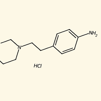 Cl.Nc1ccc(CCN2CCCCC2)cc1